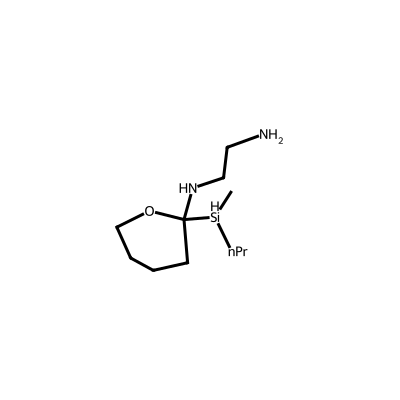 CCC[SiH](C)C1(NCCN)CCCCO1